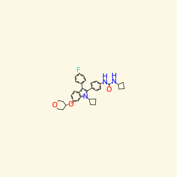 O=C(Nc1ccc(-c2c(-c3ccc(F)cc3)c3ccc(OC4CCOCC4)cc3n2C2CCC2)cc1)NC1CCC1